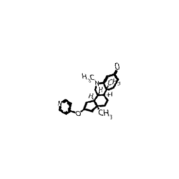 CN1C[C@H]2[C@@H]3C[C@H](Oc4ccncc4)C[C@@]3(C)CC[C@@H]2[C@@]2(C)CCC(=O)C=C12